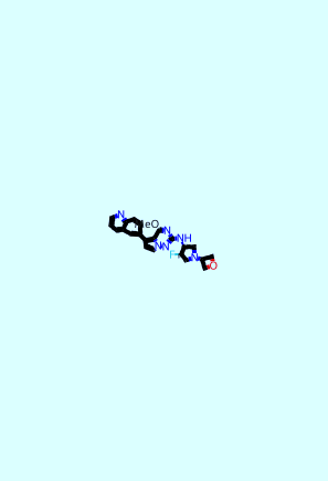 COc1nc(N[C@H]2CN(C3COC3)C[C@H]2F)nn2ccc(-c3ccc4ncccc4c3)c12